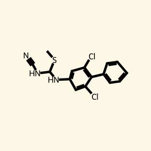 CSC(NC#N)Nc1cc(Cl)c(-c2ccccc2)c(Cl)c1